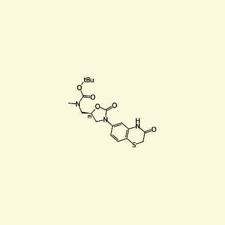 CN(C[C@@H]1CN(c2ccc3c(c2)NC(=O)CS3)C(=O)O1)C(=O)OC(C)(C)C